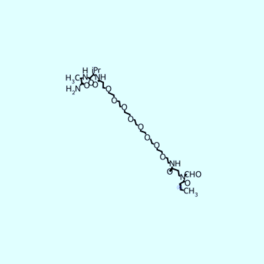 C/C=C\C(=O)N(C=O)CCC(=O)NCCOCCOCCOCCOCCOCCOCCOCCOCCC(=O)NC(C(=O)NC(C)C(N)=O)C(C)C